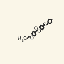 CCCOc1ccc(C(=O)Oc2ccc(OCC3CC[CH]CC3)cc2)cc1